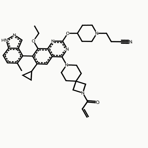 C=CC(=O)N1CC2(CCN(c3nc(OC4CCN(CCC#N)CC4)nc4c(OCC)c(-c5c(C)ccc6[nH]ncc56)c(C5CC5)cc34)CC2)C1